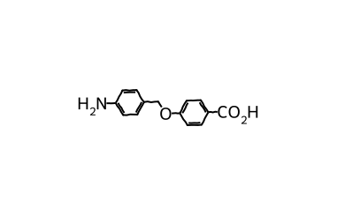 Nc1ccc(COc2ccc(C(=O)O)cc2)cc1